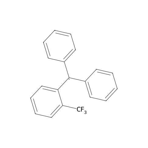 FC(F)(F)c1ccccc1[C](c1ccccc1)c1ccccc1